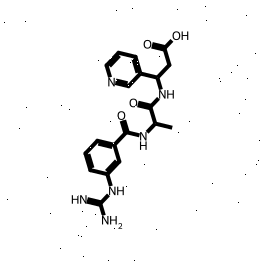 CC(NC(=O)c1cccc(NC(=N)N)c1)C(=O)NC(CC(=O)O)c1cccnc1